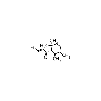 C=C1[C@H](C(=O)C=CCC)C(C)(C)CC[C@H]1C